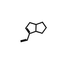 C=[C]C1=CCC2CCCC12